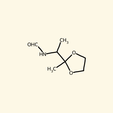 CC(NC=O)C1(C)OCCO1